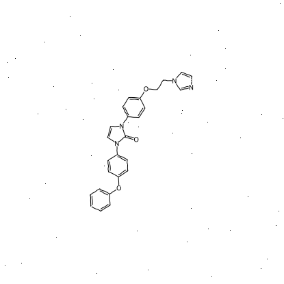 O=c1n(-c2ccc(OCCn3ccnc3)cc2)ccn1-c1ccc(Oc2ccccc2)cc1